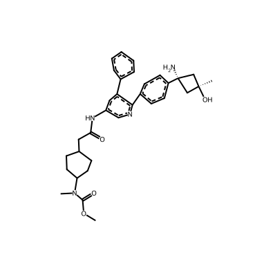 COC(=O)N(C)C1CCC(CC(=O)Nc2cnc(-c3ccc([C@]4(N)C[C@](C)(O)C4)cc3)c(-c3ccccc3)c2)CC1